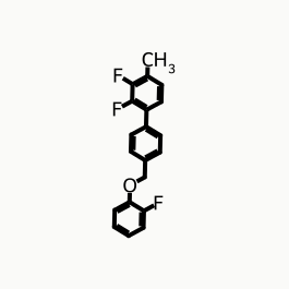 Cc1ccc(-c2ccc(COc3ccccc3F)cc2)c(F)c1F